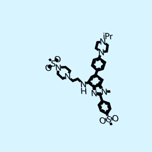 CC(C)N1CCN(c2ccc(-c3cc(NCCN4CCN(S(C)(=O)=O)CC4)c4nc(-c5ccc(S(C)(=O)=O)cc5)n(C)c4c3)cc2)CC1